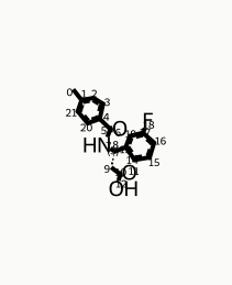 Cc1ccc(C(=O)N[C@@H](CC(=O)O)c2cccc(F)c2)cc1